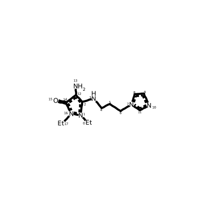 CCn1c(NCCCn2ccnc2)c(N)c(=O)n1CC